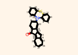 O=C1c2ccc(N3c4ccccc4Sc4ccccc43)cc2-c2cc3cccccc-3c21